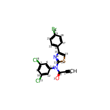 C#CC(=O)N(c1cc(Cl)cc(Cl)c1)c1nc(-c2ccc(Br)cc2)cs1